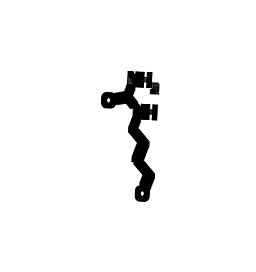 NC(=O)NC/C=C/C=O